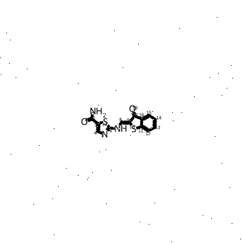 NC(=O)c1cnc(N/C=C2\Sc3ccccc3C2=O)s1